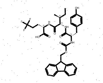 CC[C@H](C)[C@H](NC(=O)[C@H](Cc1ccc(O)cc1)NC(=O)OCC1c2ccccc2-c2ccccc21)C(=O)N[C@@H](CCC(F)(F)F)C(=O)O